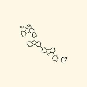 CC1(C)c2ccccc2-c2c1ccc1ccc(-n3c4ccccc4c4cc(-c5ccc6oc7c(-c8cccc(-c9cccnc9)c8)cccc7c6c5)ccc43)cc21